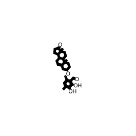 Cc1cc(CO[C@H]2CCC3(C)C(=CCC4C5CCC(=O)C5(C)CCC43)C2)c(C=O)c(O)c1O